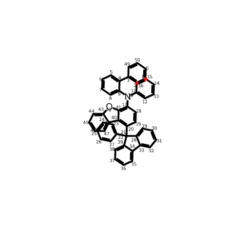 c1ccc(-c2ccccc2N(c2ccccc2)c2ccc(C3(c4ccccc4)c4ccccc4-c4ccccc43)c3c2oc2ccccc23)cc1